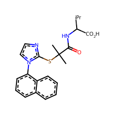 CC(C)C(NC(=O)C(C)(C)Sc1nccn1-c1cccc2ccccc12)C(=O)O